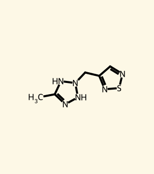 CC1=NNN(Cc2cnsn2)N1